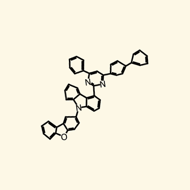 c1ccc(-c2ccc(-c3cc(-c4ccccc4)nc(-c4cccc5c4c4ccccc4n5-c4ccc5oc6ccccc6c5c4)n3)cc2)cc1